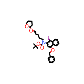 CC(C)(C)OC(=O)N(CCCC=COC1CCCCO1)c1cc(OCc2ccccc2)c2ccccc2c1I